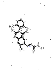 CCc1nc2cc(C)c(/C=C/C(=O)NO)cc2c(=O)n1-c1c(C)cccc1C